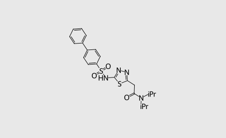 CC(C)N(C(=O)Cc1nnc(NS(=O)(=O)c2ccc(-c3ccccc3)cc2)s1)C(C)C